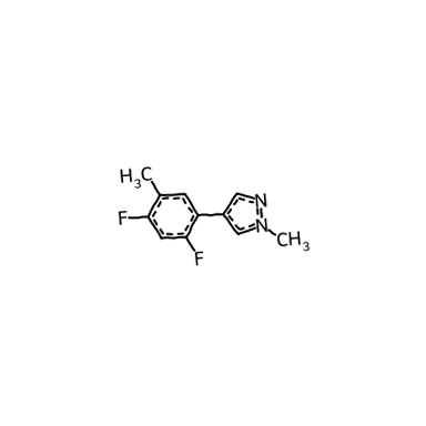 Cc1cc(-c2cnn(C)c2)c(F)cc1F